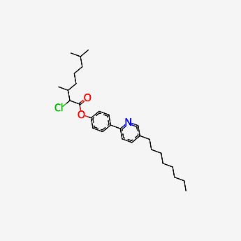 CCCCCCCCc1ccc(-c2ccc(OC(=O)C(Cl)C(C)CCCC(C)C)cc2)nc1